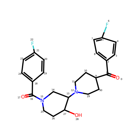 O=C(c1ccc(F)cc1)C1CCN(C2CN(C(=O)c3ccc(F)cc3)CCC2O)CC1